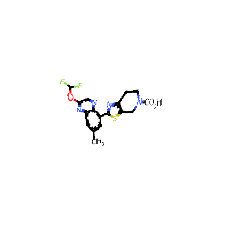 Cc1cc(-c2nc3c(s2)CN(C(=O)O)CC3)c2ncc(OC(F)F)nc2c1